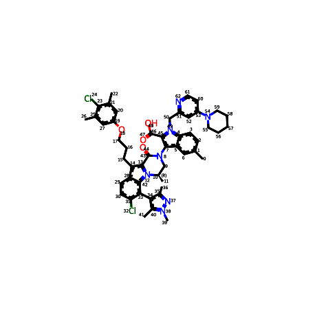 Cc1ccc2c(c1)c(N1C[C@@H](C)n3c(c(CCCOc4cc(C)c(Cl)c(C)c4)c4ccc(Cl)c(-c5c(C)nn(C)c5C)c43)C1=O)c(C(=O)O)n2Cc1cc(N2CCCCC2)ccn1